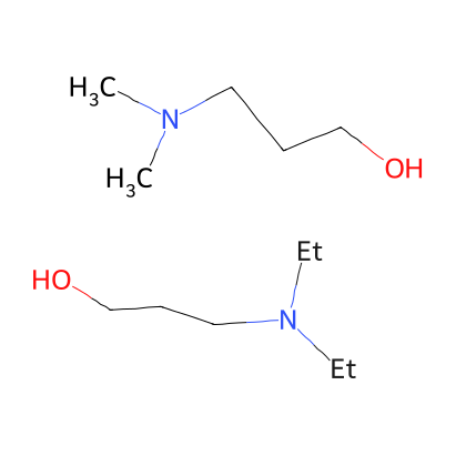 CCN(CC)CCCO.CN(C)CCCO